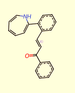 O=C(/C=C/c1ccccc1C1=CC=CC=CN1)c1ccccc1